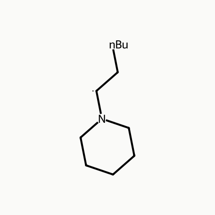 CCCCC[CH]N1CCCCC1